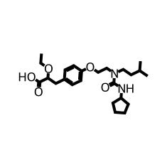 CCOC(Cc1ccc(OCCN(CCC(C)C)C(=O)NC2CCCC2)cc1)C(=O)O